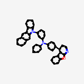 c1ccc(N(c2ccc(-c3ccnc4oc5ccccc5c34)cc2)c2cccc(-n3c4ccccc4c4cc5ccccc5cc43)c2)cc1